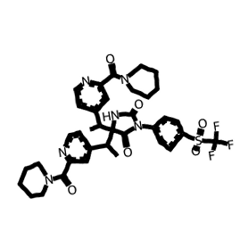 CC(c1ccnc(C(=O)N2CCCCC2)c1)C1(C(C)c2ccnc(C(=O)N3CCCCC3)c2)NC(=O)N(c2ccc(S(=O)(=O)C(F)(F)F)cc2)C1=O